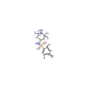 Cc1cc(S(=O)(=O)NC2CC(C)(C)NC(C)(C)C2)c(C)cc1Br